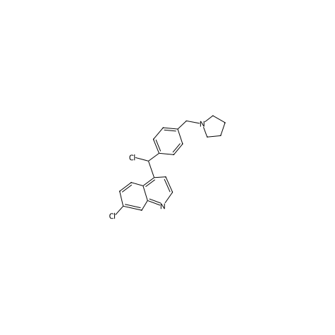 Clc1ccc2c(C(Cl)c3ccc(CN4CCCC4)cc3)ccnc2c1